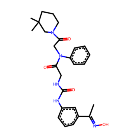 C/C(=N\O)c1cccc(NC(=O)NCC(=O)N(CC(=O)N2CCCC(C)(C)C2)c2ccccc2)c1